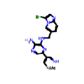 CN/C=C(\C=N)c1cnc(N)c(NCc2ccc3ncc(Br)n3c2)n1